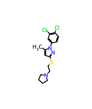 Cc1cc(SCCN2CCCC2)nn1-c1ccc(Cl)c(Cl)c1